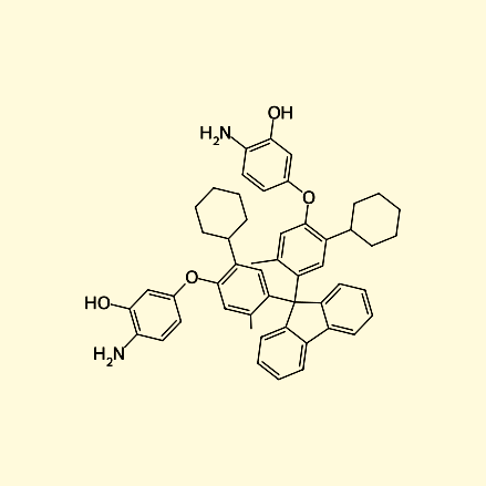 Cc1cc(Oc2ccc(N)c(O)c2)c(C2CCCCC2)cc1C1(c2cc(C3CCCCC3)c(Oc3ccc(N)c(O)c3)cc2C)c2ccccc2-c2ccccc21